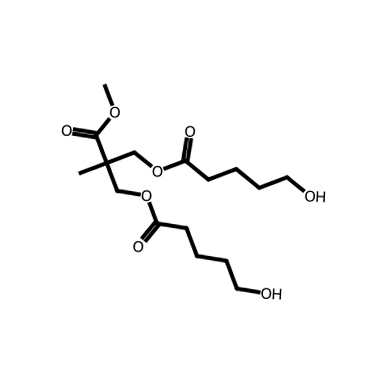 COC(=O)C(C)(COC(=O)CCCCO)COC(=O)CCCCO